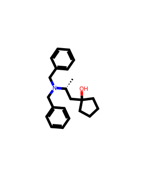 C[C@H](CC1(O)CCCC1)N(Cc1ccccc1)Cc1ccccc1